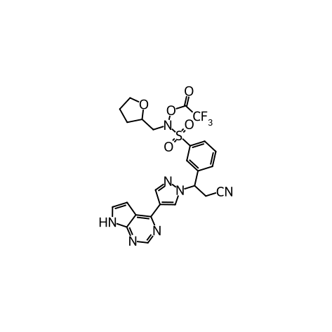 N#CCC(c1cccc(S(=O)(=O)N(CC2CCCO2)OC(=O)C(F)(F)F)c1)n1cc(-c2ncnc3[nH]ccc23)cn1